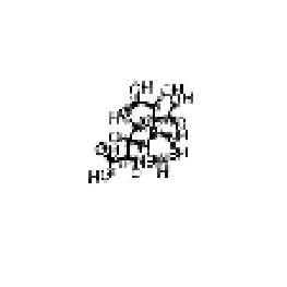 O=C(O)C(O)C(O)(B1NBNBN1C(O)(C(=O)O)C(O)C(=O)O)C(=O)O